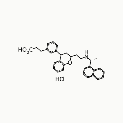 C[C@@H](NCCC1CC(c2cccc(CCC(=O)O)c2)c2ccccc2O1)c1cccc2ccccc12.Cl